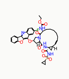 CCOC(=O)N[C@H]1CCCCC/C=C\[C@@H]2C[C@@]2(C(=O)NS(=O)(=O)C2CC2)NC(=O)[C@@H]2C[C@@H](Oc3c4cc(F)ccc4nc4c3oc3ccccc34)CN2C1=O